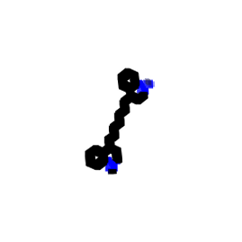 CN1C=CC(=CC=CC=CC=Cc2cc[n+](C)c3ccccc23)c2ccccc21